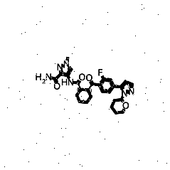 Cn1cc(NC(=O)[C@@H]2CCCC[C@@H]2C(=O)c2ccc(-c3ccnn3C3CCCCO3)cc2F)c(C(N)=O)n1